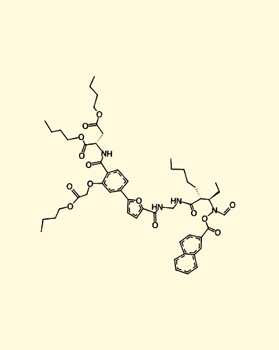 CCCCC[C@@H](C(=O)NCNC(=O)c1ccc(-c2ccc(C(=O)N[C@@H](CC(=O)OCCCC)C(=O)OCCCC)c(OCC(=O)OCCCC)c2)o1)[C@@H](CC)N(C=O)OC(=O)c1ccc2ccccc2c1